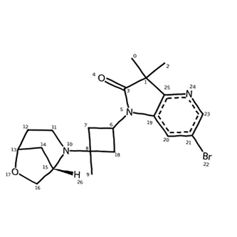 CC1(C)C(=O)N(C2CC(C)(N3CCC4C[C@H]3CO4)C2)c2cc(Br)cnc21